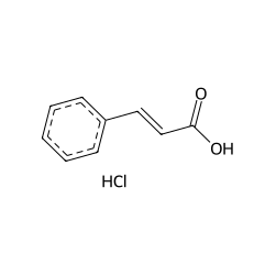 Cl.O=C(O)C=Cc1ccccc1